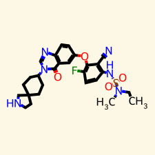 CCN(C)S(=O)(=O)Nc1ccc(F)c(Oc2ccc3ncn(C4CCC5(CCNC5)CC4)c(=O)c3c2)c1C#N